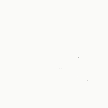 O=C(N[C@@H](c1ccccc1)c1ccc(C2CCC2)cc1)C1CC1